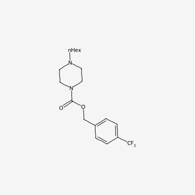 [CH2]CCCCCN1CCN(C(=O)OCc2ccc(C(F)(F)F)cc2)CC1